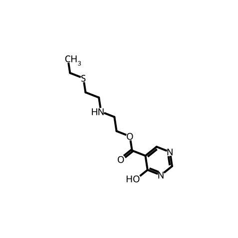 CCSCCNCCOC(=O)c1cncnc1O